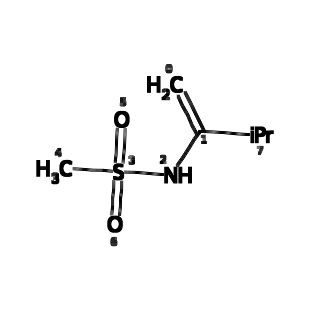 C=C(NS(C)(=O)=O)C(C)C